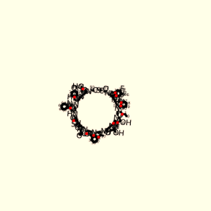 CCCC[C@H]1C(=O)N2C[C@H](O)C[C@@H]2C(=O)N[C@@H](CC(=O)O)C(=O)N[C@@H](C(C)C)C(=O)N(C)[C@@H](Cc2ccccc2)C(=O)N[C@@H](CC(=O)O)C(=O)N2CSC[C@@H]2C(=O)N[C@@H](Cc2c[nH]c3ccccc23)C(=O)N[C@@H](Cc2ccc(O)cc2)C(=O)N[C@@H](CCO)C(=O)N[C@H](C)CSCC(=O)N[C@@H](Cc2cc(F)c(F)c(F)c2)C(=O)N(C)[C@@H](Cc2ccccc2)C(=O)N1C